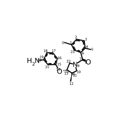 Cc1ccc(C)c(C(=O)N2C[C@@H](C)[C@H](Oc3cccc(N)c3)C2)c1